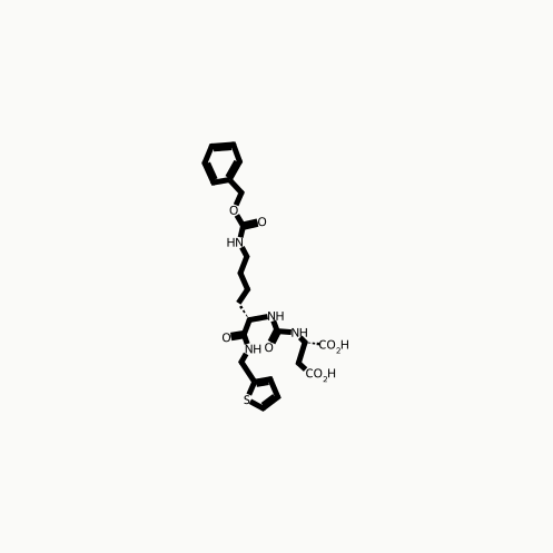 O=C(O)C[C@H](NC(=O)N[C@@H](CCCCNC(=O)OCc1ccccc1)C(=O)NCc1cccs1)C(=O)O